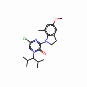 COc1cc(C)c2c(c1)CCN2c1nc(Cl)cn(C(C(C)C)C(C)C)c1=O